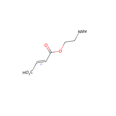 CNCCOC(=O)/C=C/C(=O)O